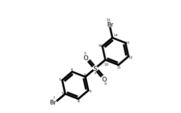 O=S(=O)(c1ccc(Br)cc1)c1cccc(Br)c1